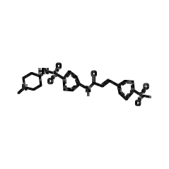 CN1CCC(NS(=O)(=O)c2ccc(N(C)C(=O)/C=C/c3ccc(S(C)(=O)=O)cc3)cc2)CC1